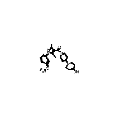 Cc1nn(-c2cccc(OC(F)(F)F)c2)c(C)c1C(=O)N1CCC(N2CCC(O)CC2)CC1